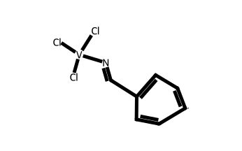 [Cl][V]([Cl])([Cl])[N]=Cc1cc[c]cc1